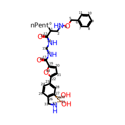 CCCCCC(CNOCc1ccccc1)C(=O)NCNC(=O)c1ccc(-c2ccc3c(c2)S(O)(O)NC3)o1